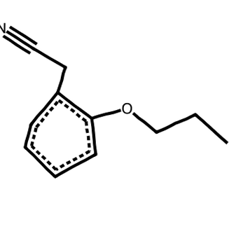 CCCOc1ccccc1CC#N